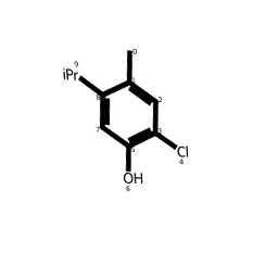 Cc1cc(Cl)c(O)cc1C(C)C